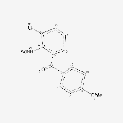 COc1ccc(C(=O)c2cccc(Cl)c2NC(C)=O)cc1